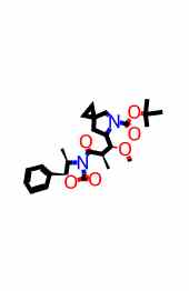 CO[C@@H](C1CC2(CC2)CN1C(=O)OC(C)(C)C)[C@@H](C)C(=O)N1C(=O)O[C@@H](c2ccccc2)[C@H]1C